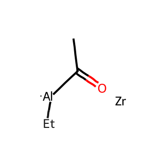 C[CH2][Al][C](C)=O.[Zr]